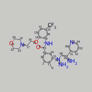 Cc1ccc(C(=O)Nc2cc(C(F)(F)F)ccc2OCCN2CCOCC2)cc1N(N)/C=C(\N)c1cccnc1